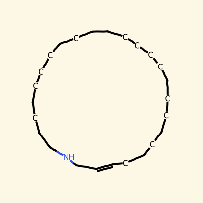 [CH]1CC=CCNCCCCCCCCCCCCCCCCCCCC1